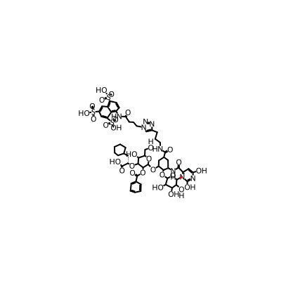 CC1OC(OC2C(NC(=O)c3cc(O)nc(O)n3)CC(C(=O)NCCCc3cn(CCCC(=O)Nc4ccc(S(=O)(=O)O)c5cc(S(=O)(=O)O)cc(S(=O)(=O)O)c45)nn3)CC2OC2OC(CO)C(O)C(O[C@@H](CC3CCCCC3)C(=O)O)C2OC(=O)c2ccccc2)C(O)C(O)C1O